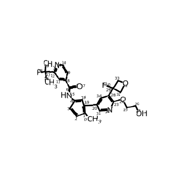 Cc1ccc(NC(=O)c2ccnc(C(C)(C)F)c2)cc1-c1cnc(OCCO)c(C2(F)COC2)c1